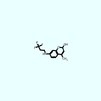 CC1=CC(O)Oc2cc(NCCC(F)(F)F)ccc21